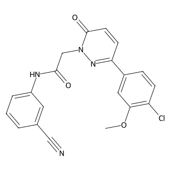 COc1cc(-c2ccc(=O)n(CC(=O)Nc3cccc(C#N)c3)n2)ccc1Cl